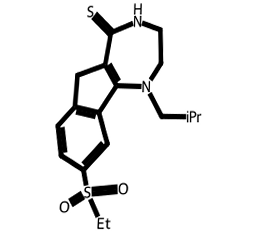 CCS(=O)(=O)c1ccc2c(c1)C1=C(C2)C(=S)NCCN1CC(C)C